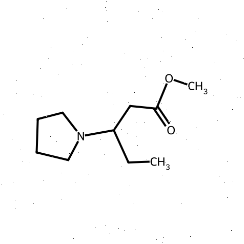 CCC(CC(=O)OC)N1CCCC1